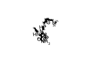 CC#CNC1=C(C(N)=O)S(=O)(=O)N=C1NCCSCc1ccc(CN(C)C)o1